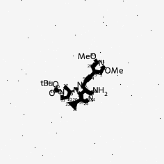 COc1cc(C#Cc2nn([C@H]3CCN(C(=O)OC(C)(C)C)C3)c3c(C4CC4)cnc(N)c23)cc(OC)n1